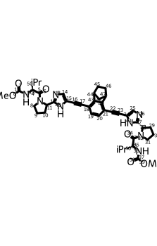 COC(=O)N[C@H](C(=O)N1CCCC1c1ncc(C#Cc2ccc(C#Cc3cnc([C@@H]4CCCN4C(=O)[C@@H](NC(=O)OC)C(C)C)[nH]3)c3c2C2CCC3C2)[nH]1)C(C)C